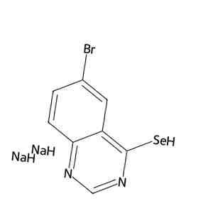 [NaH].[NaH].[SeH]c1ncnc2ccc(Br)cc12